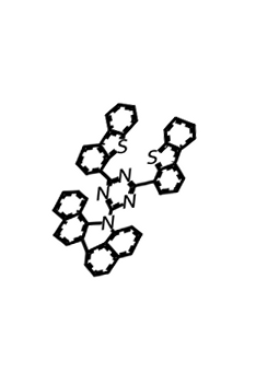 c1ccc2c3c(ccc2c1)-c1cccc2cccc(c12)N3c1nc(-c2cccc3c2sc2ccccc23)nc(-c2cccc3c2sc2ccccc23)n1